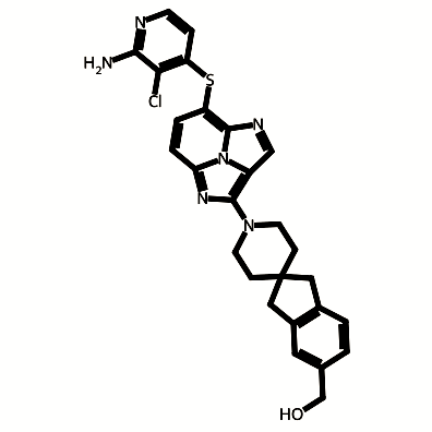 Nc1nccc(Sc2ccc3nc(N4CCC5(CC4)Cc4ccc(CO)cc4C5)c4cnc2n34)c1Cl